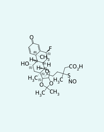 CC1(C)OC2C[C@H]3[C@@H]4C[C@H](F)C5=CC(=O)C=C[C@]5(C)[C@H]4[C@@H](O)C[C@]3(C)[C@]2(C(=O)CCC(C)(CC(=O)O)SN=O)O1